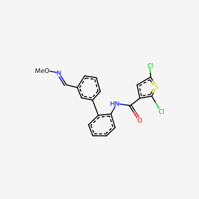 CON=Cc1cccc(-c2ccccc2NC(=O)c2cc(Cl)sc2Cl)c1